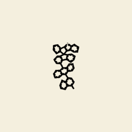 Cc1ccc(-c2c3ccccc3c(-c3cccc4c3-c3ccccc3C43c4ccccc4-c4sc5ccccc5c43)c3ccccc23)c2ccccc12